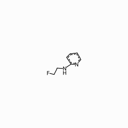 FCCNc1ccccn1